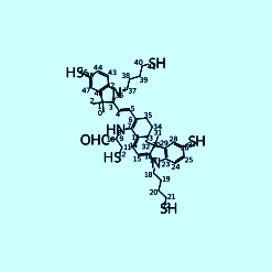 CC1(C)C(/C=C/C2=C(N[C@H](C=O)CS)C(=C/C=C3/N(CCCCS)c4ccc(S)cc4C3(C)C)/CCC2)=[N+](CCCCS)c2ccc(S)cc21